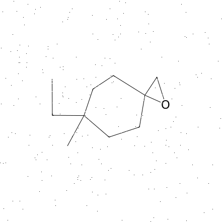 CCC1(C)CCC2(CC1)CO2